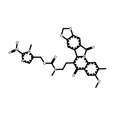 COc1cc2c(=O)c(CCN(C)C(=O)OCc3cnc([N+](=O)[O-])n3C)c3n(c2cc1C)C(=O)c1cc2c(cc1-3)OCO2